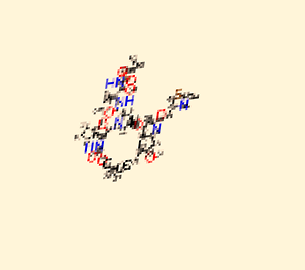 C=C[C@@H]1C[C@]1(NC(=O)[C@@H]1C[C@@H]2CN1C(=O)[C@H](C1CCCC1)NC(=O)OCC(C)(C)CCCc1cc3c(cc(OCC4CSC(C)=N4)nc3cc1OC)O2)C(=O)NS(=O)(=O)C1CC1